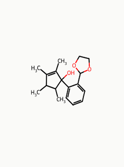 CC1=C(C)C(O)(c2ccccc2C2OCCO2)C(C)C1C